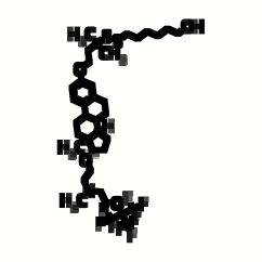 CN(CCO[C@H]1CC[C@H]2C3CCc4cc(OCCC(C)(C)SSCCCCCCO)ccc4C3CC[C@]12C)CCOC(C(F)(F)F)(C(F)(F)F)C(F)(F)F